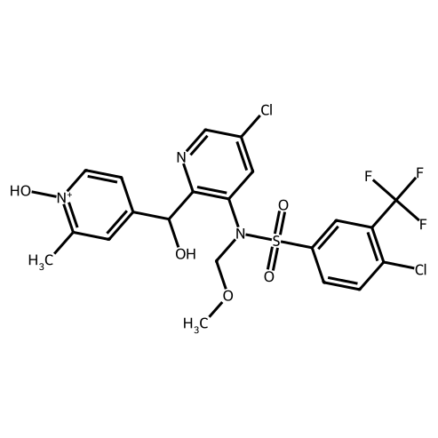 COCN(c1cc(Cl)cnc1C(O)c1cc[n+](O)c(C)c1)S(=O)(=O)c1ccc(Cl)c(C(F)(F)F)c1